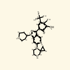 Oc1c(F)c(-c2nn(C3CCOCC3)c3cc(N4CCOCC45CC5)ncc23)cc(C(F)(F)F)c1F